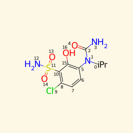 CC(C)N(C(N)=O)c1ccc(Cl)c(S(N)(=O)=O)c1O